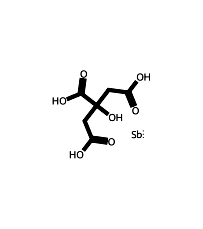 O=C(O)CC(O)(CC(=O)O)C(=O)O.[Sb]